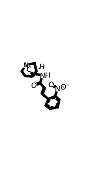 O=C(C=Cc1ccccc1[N+](=O)[O-])N[C@@H]1CN2CCC1CC2